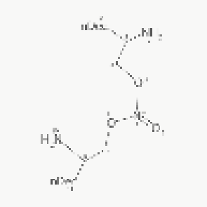 CCCCCCCCCCC(N)CO[N+](=O)OCC(N)CCCCCCCCCC